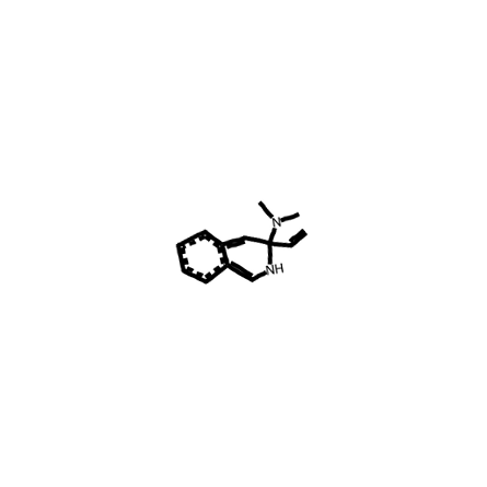 C=CC1(N(C)C)C=c2ccccc2=CN1